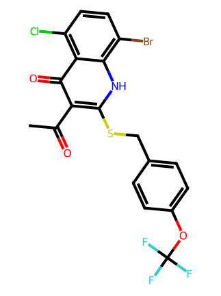 CC(=O)c1c(SCc2ccc(OC(F)(F)F)cc2)[nH]c2c(Br)ccc(Cl)c2c1=O